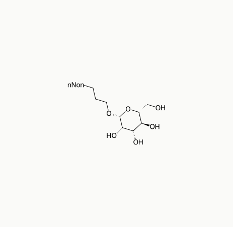 CCCCCCCCCCCCO[C@@H]1O[C@H](CO)[C@@H](O)[C@H](O)[C@@H]1O